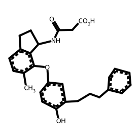 Cc1ccc2c(c1Oc1ccc(O)c(CCCc3ccccc3)c1)C(NC(=O)CC(=O)O)CC2